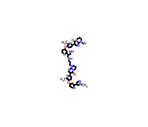 Cc1nc(-c2cnc3n(c2=O)CCCN3CCCN/C=C(\C=N)c2cc(Oc3ccc(-c4cnc5n(c4=O)CCCN5C(C)C)nc3C)ccn2)ccc1Oc1ccnc(-c2cnn(C)c2)c1